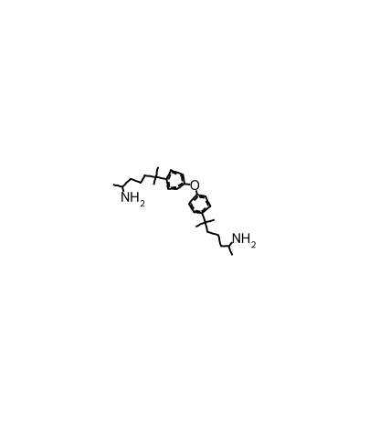 CC(N)CCCC(C)(C)c1ccc(Oc2ccc(C(C)(C)CCCC(C)N)cc2)cc1